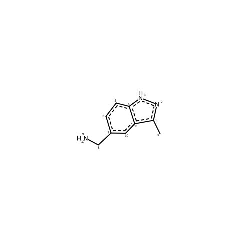 Cc1n[nH]c2ccc(CN)cc12